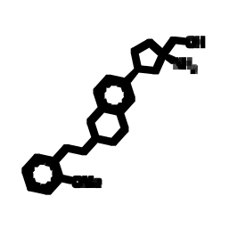 COc1ccccc1CCC1CCc2cc([C@H]3CC[C@](N)(CO)C3)ccc2C1